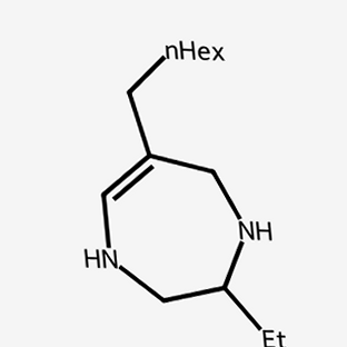 CCCCCCCC1=CNCC(CC)NC1